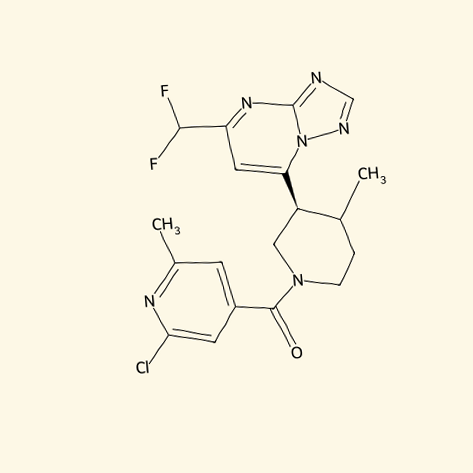 Cc1cc(C(=O)N2CCC(C)[C@H](c3cc(C(F)F)nc4ncnn34)C2)cc(Cl)n1